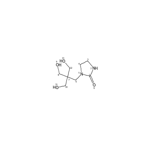 O=C1NCCN1CC(CO)(CO)CO